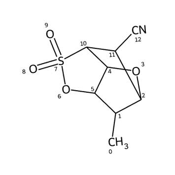 CC1C2OC3C1OS(=O)(=O)C3C2C#N